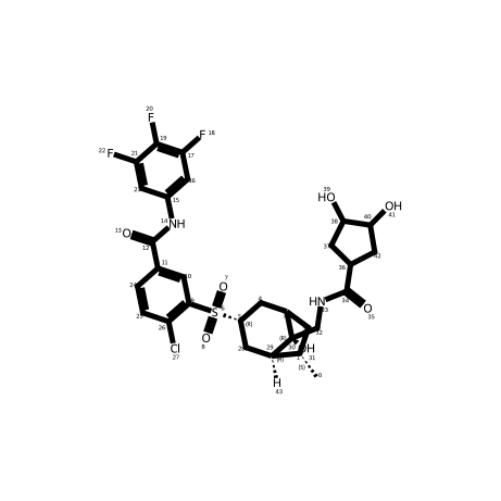 C[C@H]1CC2C[C@@H](S(=O)(=O)c3cc(C(=O)Nc4cc(F)c(F)c(F)c4)ccc3Cl)C[C@H]1[C@@]2(O)CNC(=O)C1CC(O)C(O)C1